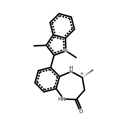 Cc1c(-c2cccc3c2N[C@H](C)CC(=O)N3)n(C)c2ccccc12